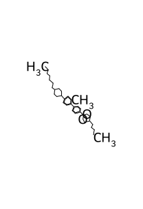 CCCCCCCC1CCC(c2ccc(-c3ccc(C4OCC(CCCCC)CO4)cc3)c(C)c2)CC1